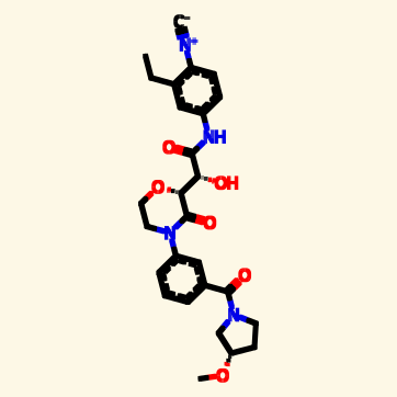 [C-]#[N+]c1ccc(NC(=O)[C@H](O)[C@H]2OCCN(c3cccc(C(=O)N4CC[C@H](OC)C4)c3)C2=O)cc1CC